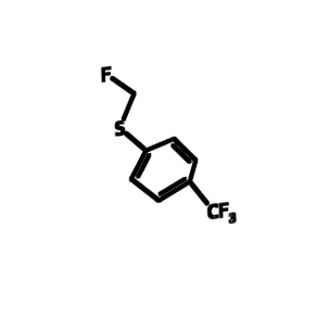 FCSc1ccc(C(F)(F)F)cc1